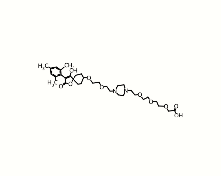 Cc1cc(C)c(C2=C(O)C3(CCC(OCCOCCN4CCN(CCOCCOCCOCC(=O)O)CC4)CC3)OC2=O)c(C)c1